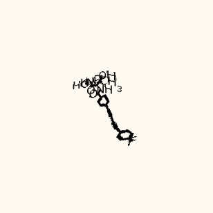 CC(C)(O)[C@H](NC(=O)c1ccc(C#CC#Cc2ccc(F)cc2)cc1)C(=O)NO